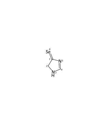 [Se]=C1CNC=N1